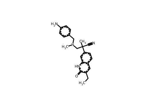 CCc1cc2ccc(C(C)(C#N)CN(C)Cc3ccc(N)cc3)cc2[nH]c1=O